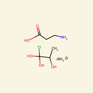 CC(O)C(O)(O)Cl.NCCC(=O)O.[AlH3].[Zr]